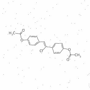 CC(=O)Oc1ccc(/C=C(\Cl)c2ccc(OC(C)=O)cc2)cc1